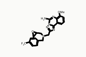 COc1cccc2c1nc(N)n1nc(CN(Cc3ccc(C(F)(F)F)cc3)CC3CO3)nc21